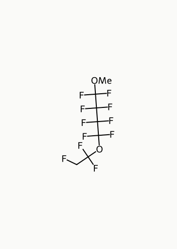 COC(F)(F)C(F)(F)C(F)(F)C(F)(F)OC(F)(F)CF